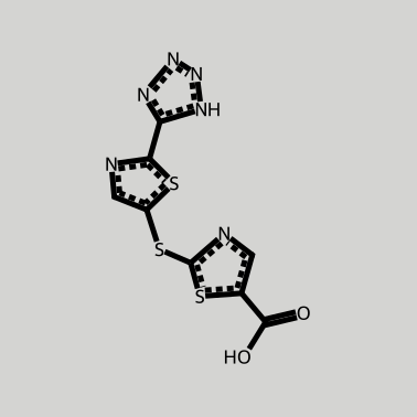 O=C(O)c1cnc(Sc2cnc(-c3nnn[nH]3)s2)s1